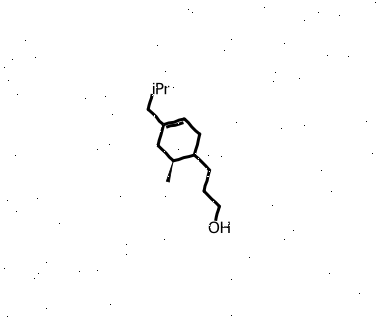 CC(C)CC1=CCC(CCCO)[C@@H](C)C1